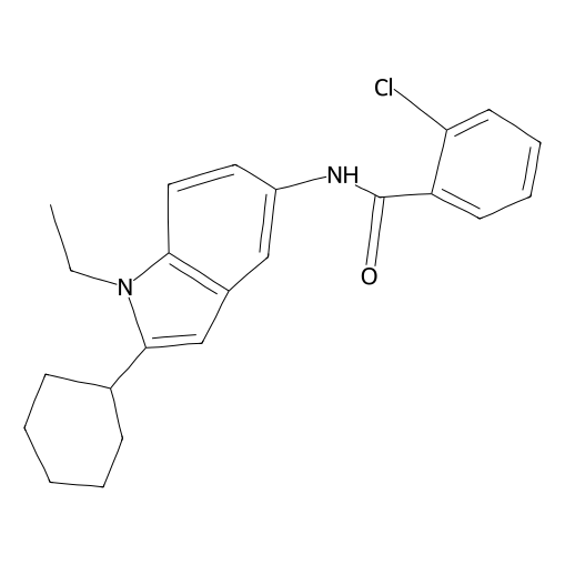 CCn1c(C2CCCCC2)cc2cc(NC(=O)c3ccccc3Cl)ccc21